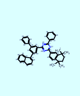 CC1(C)CCC(C)(C)c2cc(-c3nc(-c4ccccc4)nc(-c4cc(-c5ccccc5)cc(-c5cccc6ccccc56)c4)n3)ccc21